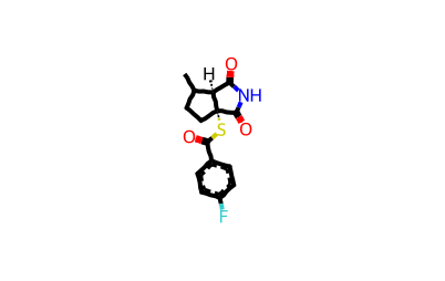 CC1CC[C@]2(SC(=O)c3ccc(F)cc3)C(=O)NC(=O)[C@H]12